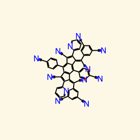 N#CC1=C(c2ccccn2)/C(=C(/C#N)c2cc(C#N)cc(C#N)c2)c2c1c(-c1ccc(C#N)cc1)c1c(c2-c2ccc(C#N)cc2)/C(=C(\C#N)c2cc(C#N)cc(C#N)c2)C(c2ccccn2)=C1C#N